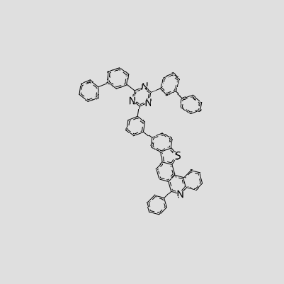 c1ccc(-c2cccc(-c3nc(-c4cccc(-c5ccccc5)c4)nc(-c4cccc(-c5ccc6sc7c(ccc8c(-c9ccccc9)nc9ccccc9c87)c6c5)c4)n3)c2)cc1